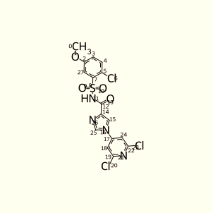 COc1ccc(Cl)c(S(=O)(=O)NC(=O)c2cn(-c3cc(Cl)nc(Cl)c3)cn2)c1